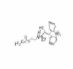 C=CC(=O)OCCNC(=O)C(C#N)=C1c2ccccc2Nc2ccccc21